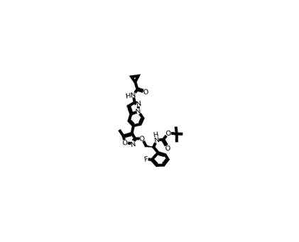 Cc1onc(OC[C@@H](NC(=O)OC(C)(C)C)c2ccccc2F)c1-c1ccn2nc(NC(=O)C3CC3)cc2c1